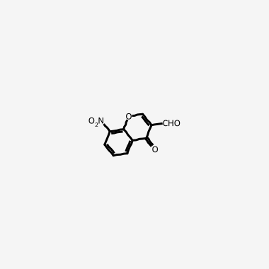 O=Cc1coc2c([N+](=O)[O-])cccc2c1=O